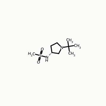 CC(C)(C)N1CC[C@@H](NS(C)(=O)=O)C1